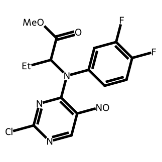 CCC(C(=O)OC)N(c1ccc(F)c(F)c1)c1nc(Cl)ncc1N=O